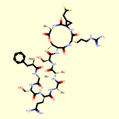 CC[C@H](C)[C@H](NC(=O)[C@@H](Cc1ccccc1)NC)C(=O)N[C@@H](CO)C(=O)N[C@H](CCC(=N)N)C(=O)N[C@@H](C(=O)N[C@H](C(=O)N[C@@H](CO)C(=O)N[C@H]1C(=O)N[C@@H](CCCNC(=N)N)C(=O)NC2(CC2CC(F)F)C(=O)N[C@@H]([C@@H](C)CC)C(=O)O[C@H]1C)[C@@H](C)CC)[C@@H](C)CC